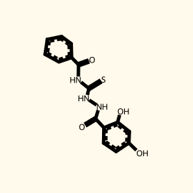 O=C(NC(=S)NNC(=O)c1ccc(O)cc1O)c1ccccc1